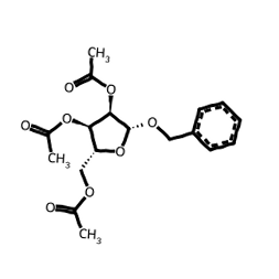 CC(=O)OC[C@H]1O[C@@H](OCc2ccccc2)[C@H](OC(C)=O)[C@@H]1OC(C)=O